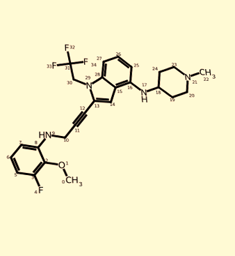 COc1c(F)cccc1NCC#Cc1cc2c(NC3CCN(C)CC3)cccc2n1CC(F)(F)F